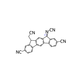 N#CCC1c2cc(C#N)ccc2-c2cc3c(cc21)/C(=N/C#N)c1cc(C#N)ccc1-3